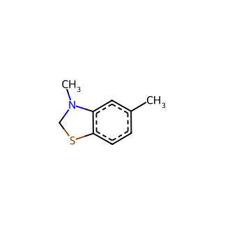 Cc1ccc2c(c1)N(C)CS2